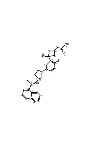 C[C@@H](N[C@H]1CCN(c2ccc(F)c(C3(O)CC(CC(=O)O)C3)c2)C1)c1cccc2ccccc12